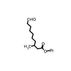 [CH2]C([CH2])OC(=O)CC(C)CCCCCCC=O